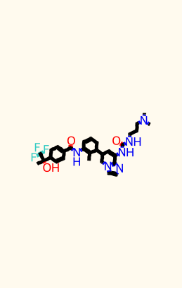 CC1=C(NC(=O)C2=CCC(C(C)(O)C(F)(F)F)C=C2)C=CCC1C1C=C(NC(=O)NCCCN(C)C)c2nccn2C1